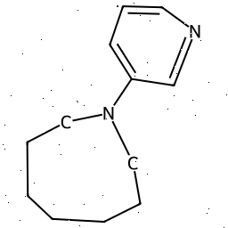 [c]1cncc(N2CCCCCCC2)c1